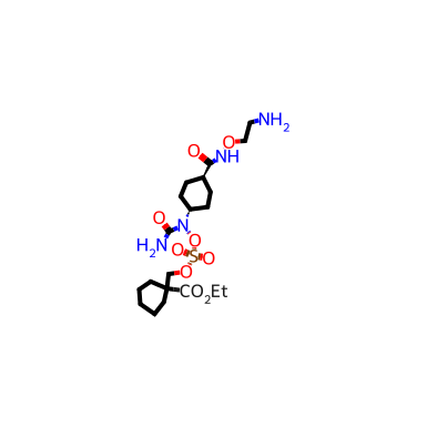 CCOC(=O)C1(COS(=O)(=O)ON(C(N)=O)[C@H]2CC[C@H](C(=O)NOCCN)CC2)CCCCC1